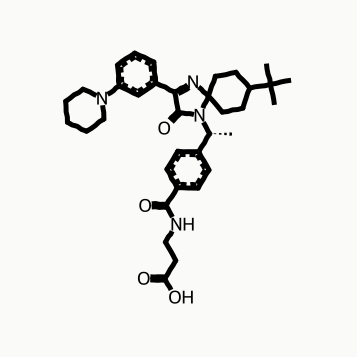 C[C@H](c1ccc(C(=O)NCCC(=O)O)cc1)N1C(=O)C(c2cccc(N3CCCCC3)c2)=NC12CCC(C(C)(C)C)CC2